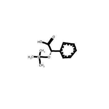 C[Si](C)(C)O[C@H](C(=O)O)c1ccccc1